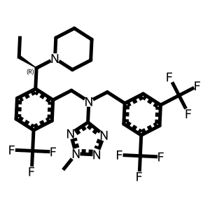 CC[C@H](c1ccc(C(F)(F)F)cc1CN(Cc1cc(C(F)(F)F)cc(C(F)(F)F)c1)c1nnn(C)n1)N1CCCCC1